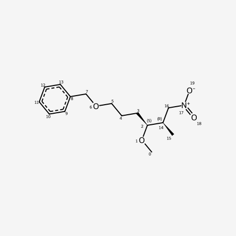 CO[C@@H](CCCOCc1ccccc1)[C@H](C)C[N+](=O)[O-]